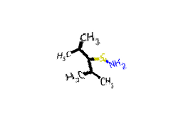 CC(C)C(SN)C(C)C